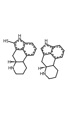 Sc1[nH]c2cccc3c2c1C[C@H]1NCCCC31.c1cc2c3c(c[nH]c3c1)C[C@H]1NCCCC21